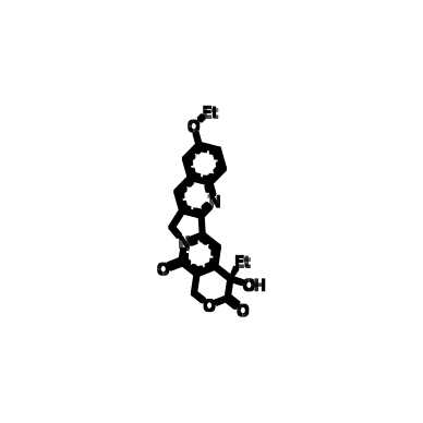 CCOc1ccc2nc3c(cc2c1)Cn1c-3cc2c(c1=O)COC(=O)[C@]2(O)CC